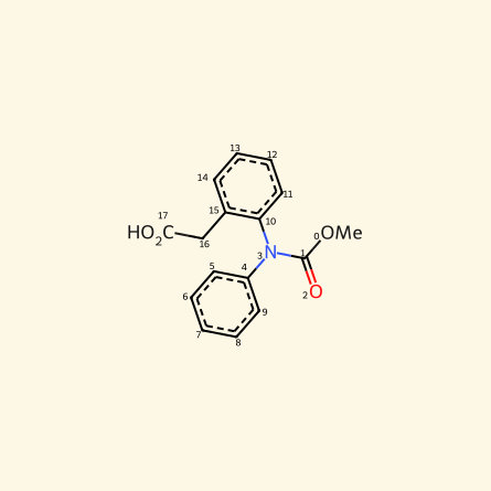 COC(=O)N(c1ccccc1)c1ccccc1CC(=O)O